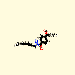 CCCCC#CC#CCNC(=O)c1ccc(C(=O)NC)cc1